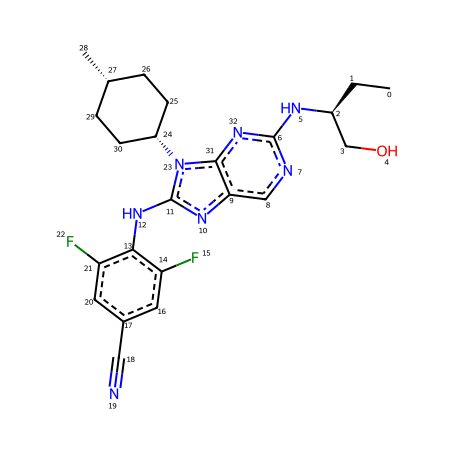 CC[C@@H](CO)Nc1ncc2nc(Nc3c(F)cc(C#N)cc3F)n([C@H]3CC[C@@H](C)CC3)c2n1